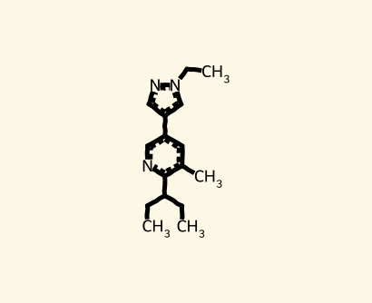 CCC(CC)c1ncc(-c2cnn(CC)c2)cc1C